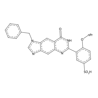 CCCOc1ccc(S(=O)(=O)O)cc1-c1nc2cc3ncn(Cc4ccccc4)c3cc2c(=O)[nH]1